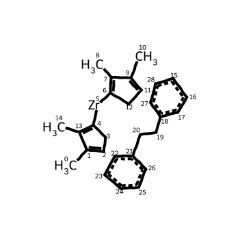 CC1=CC[C]([Zr][C]2=C(C)C(C)=CC2)=C1C.c1ccc(CCc2ccccc2)cc1